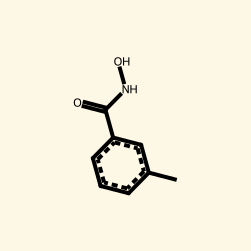 Cc1cccc(C(=O)NO)c1